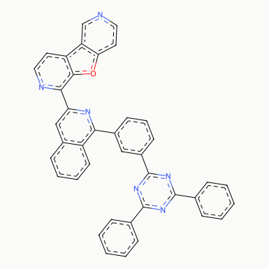 c1ccc(-c2nc(-c3ccccc3)nc(-c3cccc(-c4nc(-c5nccc6c5oc5ccncc56)cc5ccccc45)c3)n2)cc1